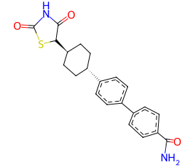 NC(=O)c1ccc(-c2ccc([C@H]3CC[C@H](C4SC(=O)NC4=O)CC3)cc2)cc1